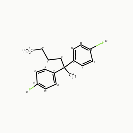 CC(CCCC(=O)O)(c1ccc(F)cc1)c1ccc(F)cc1